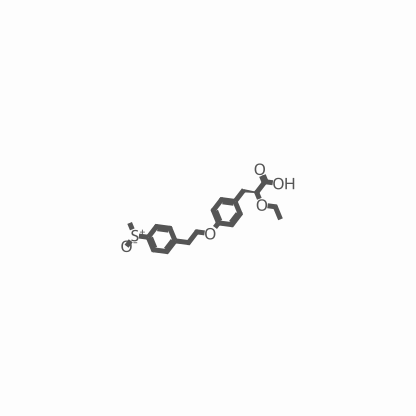 CCO[C@@H](Cc1ccc(OCCc2ccc([S+](C)[O-])cc2)cc1)C(=O)O